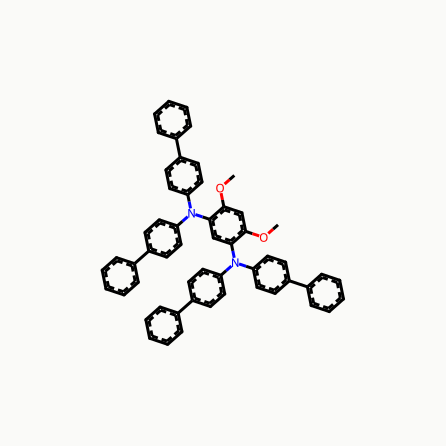 COc1cc(OC)c(N(c2ccc(-c3ccccc3)cc2)c2ccc(-c3ccccc3)cc2)cc1N(c1ccc(-c2ccccc2)cc1)c1ccc(-c2ccccc2)cc1